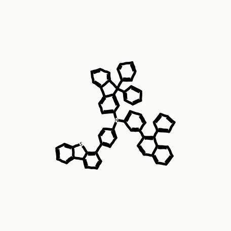 c1ccc(-c2c(-c3cccc(N(c4ccc(-c5cccc6c5sc5ccccc56)cc4)c4ccc5c(c4)C(c4ccccc4)(c4ccccc4)c4ccccc4-5)c3)ccc3ccccc23)cc1